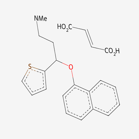 CNCCC(Oc1cccc2ccccc12)c1cccs1.O=C(O)C=CC(=O)O